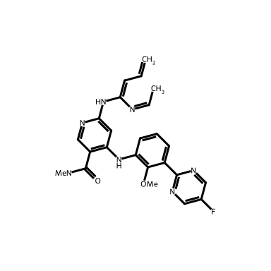 C=C/C=C(\N=C/C)Nc1cc(Nc2cccc(-c3ncc(F)cn3)c2OC)c(C(=O)NC)cn1